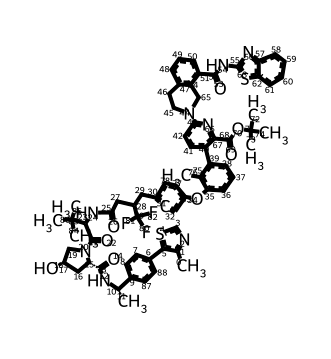 Cc1ncsc1-c1ccc([C@H](C)NC(=O)[C@@H]2C[C@@H](O)CN2C(=O)C(NC(=O)CC(Cc2ccc(Oc3cccc(-c4ccc(N5CCc6cccc(C(=O)Nc7nc8ccccc8s7)c6C5)nc4C(=O)OC(C)(C)C)c3C)cc2)C(F)(F)F)C(C)(C)C)cc1